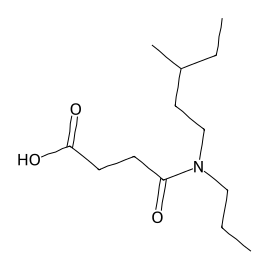 CCCN(CCC(C)CC)C(=O)CCC(=O)O